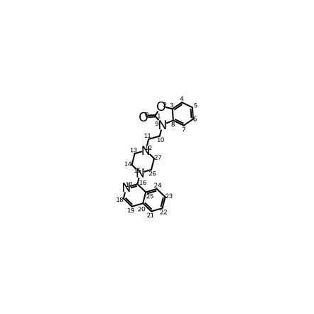 O=c1oc2ccccc2n1CCN1CCN(c2nccc3ccccc23)CC1